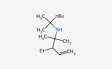 C=CC(CC)C(C)(C)NC(C)(C)CCCC